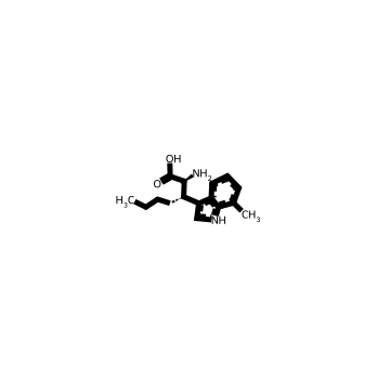 CCCC[C@@H](c1c[nH]c2c(C)cccc12)[C@H](N)C(=O)O